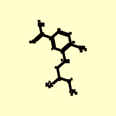 COC(C)CNc1cc(C(=O)O)ccc1N